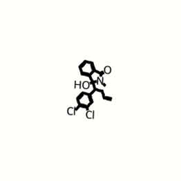 C=CCC(c1ccc(Cl)c(Cl)c1)C1(O)c2ccccc2C(=O)N1C